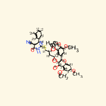 COc1cc(OC)c2c(=O)c(OCCCCSc3nc(-c4ccccc4)c(C#N)c(=O)[nH]3)c(-c3cc(OC)c(OC)c(OC)c3)oc2c1